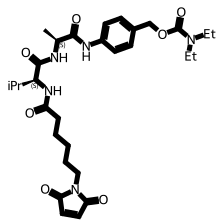 CCN(CC)C(=O)OCc1ccc(NC(=O)[C@H](C)NC(=O)[C@@H](NC(=O)CCCCCN2C(=O)C=CC2=O)C(C)C)cc1